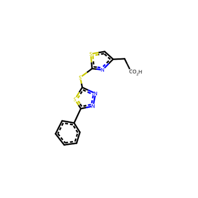 O=C(O)Cc1csc(Sc2nnc(-c3ccccc3)s2)n1